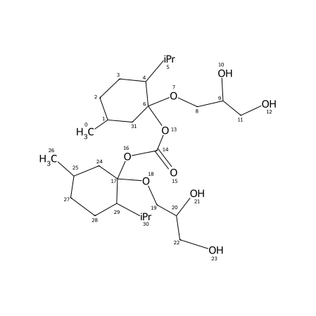 CC1CCC(C(C)C)C(OCC(O)CO)(OC(=O)OC2(OCC(O)CO)CC(C)CCC2C(C)C)C1